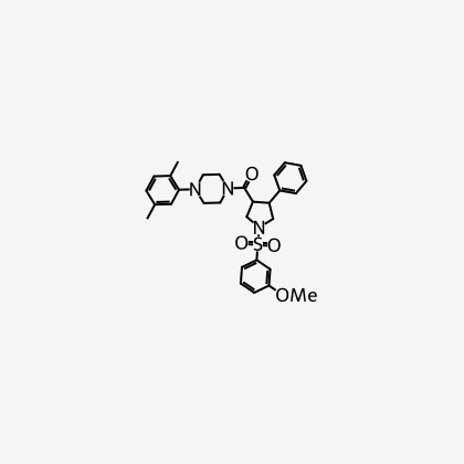 COc1cccc(S(=O)(=O)N2CC(C(=O)N3CCN(c4cc(C)ccc4C)CC3)C(c3ccccc3)C2)c1